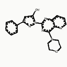 Oc1cc(-c2ccccc2)nn1-c1nc(N2CCOCC2)c2ncccc2n1